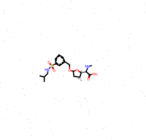 CNC(C(=O)O)[C@@H]1OC(OCc2cccc(S(=O)(=O)NCC(C)C)c2)C[C@H]1C